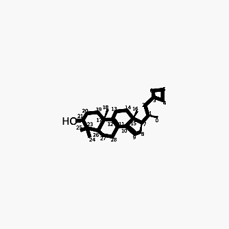 C[C@H](CC1CCC1)[C@H]1CC=C2C3=C(CC[C@@]21C)[C@@]1(C)CCC(O)C(C)(C)C1CC3